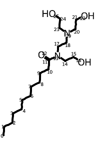 CCCCCCCCCCCC(=O)N(CCO)CCN(CCO)CCO